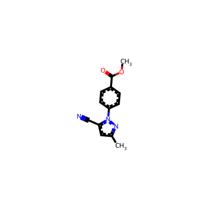 COC(=O)c1ccc(-n2nc(C)cc2C#N)cc1